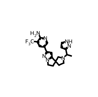 CC(c1cc[nH]n1)N1CCC2(CCn3nc(-c4cnc(N)c(C(F)(F)F)c4)cc32)C1